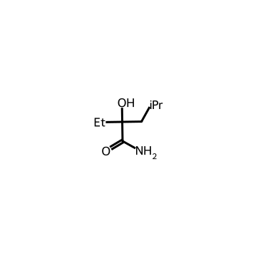 CCC(O)(CC(C)C)C(N)=O